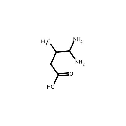 CC(CC(=O)O)C(N)N